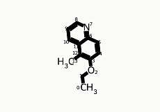 CCOc1ccc2ncccc2c1C